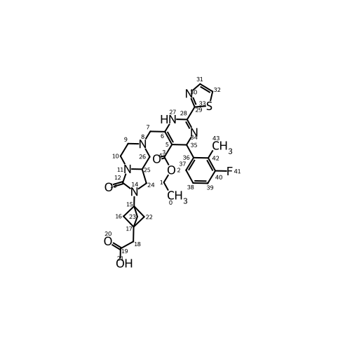 CCOC(=O)C1=C(CN2CCN3C(=O)N(C45CC(CC(=O)O)(C4)C5)CC3C2)NC(c2nccs2)=NC1c1cccc(F)c1C